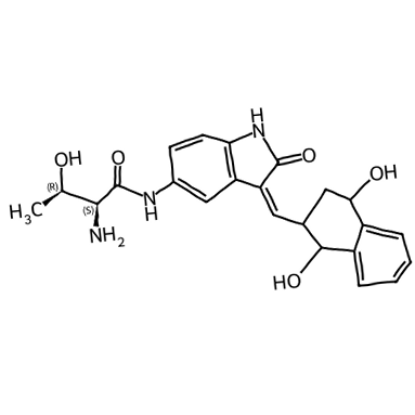 C[C@@H](O)[C@H](N)C(=O)Nc1ccc2c(c1)C(=CC1CC(O)c3ccccc3C1O)C(=O)N2